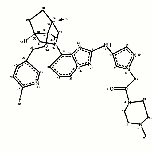 CN1CCN(C(=O)Cn2cc(Nc3nc4c(N5C[C@H]6CC[C@@H](C5)[C@H]6OCc5ccc(F)nc5)cccn4n3)cn2)CC1